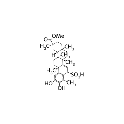 COC(=O)[C@]1(C)CC[C@]2(C)CC[C@]3(C)C4=CC(S(=O)(=O)O)c5c(cc(O)c(O)c5C)[C@]4(C)CC[C@@]3(C)[C@@H]2C1